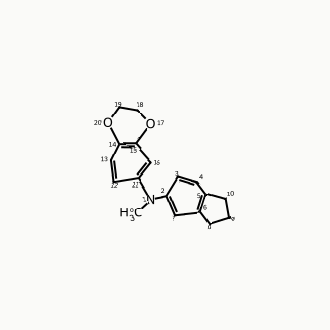 CN(c1ccc2c(c1)CCC2)c1ccc2c(c1)OCCO2